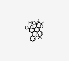 C[C@H]1[C@H](O)c2c(c3c(c4c(-c5ccccc5)cc(=O)oc24)OC(C)(C)C=C3)O[C@@H]1C